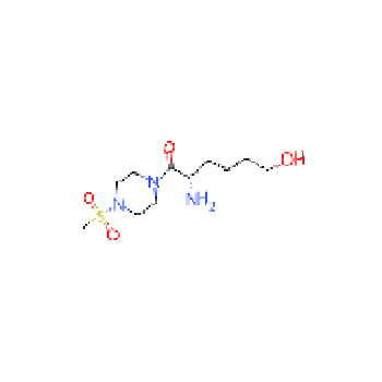 CS(=O)(=O)N1CCN(C(=O)[C@@H](N)CCCCO)CC1